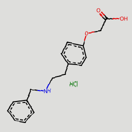 Cl.O=C(O)COc1ccc(CCNCc2ccccc2)cc1